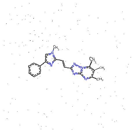 Cc1nc2nc(C=Cc3nc(-c4ccccc4)cn3C)nn2c(C)c1C